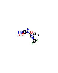 C[C@@H]1CN(c2cc(F)cc(F)c2)CCN1C(=O)CNc1ccc2[nH]c(=O)oc2c1